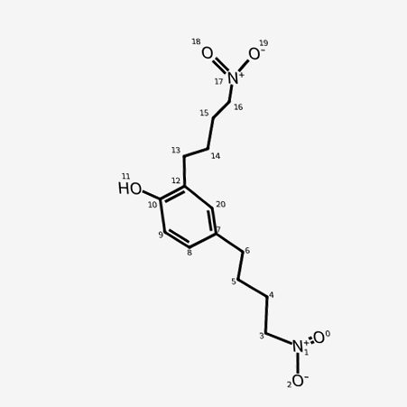 O=[N+]([O-])CCCCc1ccc(O)c(CCCC[N+](=O)[O-])c1